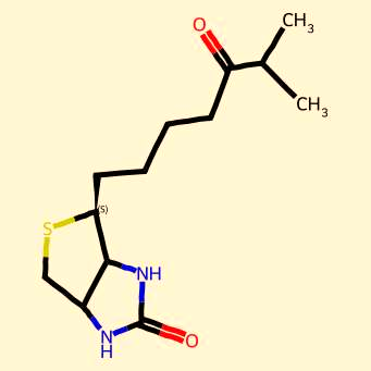 CC(C)C(=O)CCCC[C@@H]1SCC2NC(=O)NC21